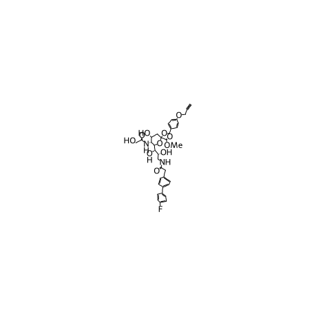 C#CCOc1ccc(CO[C@]2(C(=O)OC)C[C@H](O)[C@@H](NC(=O)CO)[C@H]([C@H](O)[C@H](O)CNC(=O)Cc3ccc(-c4ccc(F)cc4)cc3)O2)cc1